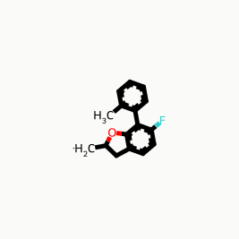 [CH2]C1Cc2ccc(F)c(-c3ccccc3C)c2O1